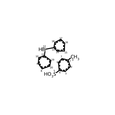 Cc1ccc(S(=O)(=O)O)cc1.c1cc[c]([BiH][c]2ccccc2)cc1